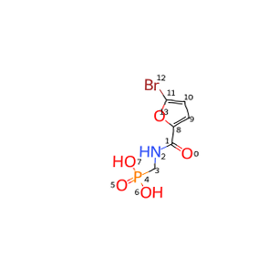 O=C(NCP(=O)(O)O)c1ccc(Br)o1